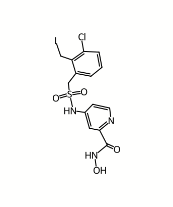 O=C(NO)c1cc(NS(=O)(=O)Cc2cccc(Cl)c2CI)ccn1